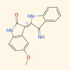 COc1ccc2c(c1)/C(=C1/Nc3ccccc3C1=N)C(=O)N2